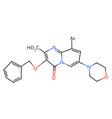 CC(=O)c1cc(N2CCOCC2)cn2c(=O)c(OCc3ccccc3)c(C(=O)O)nc12